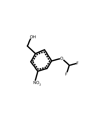 O=[N+]([O-])c1cc(CO)cc(OC(F)F)c1